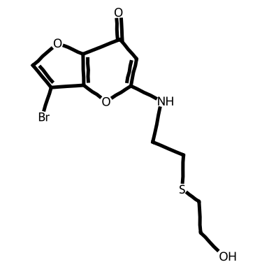 O=c1cc(NCCSCCO)oc2c(Br)coc12